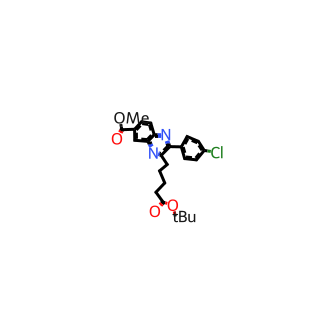 COC(=O)c1ccc2nc(-c3ccc(Cl)cc3)c(CCCCC(=O)OC(C)(C)C)nc2c1